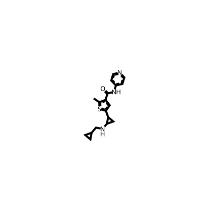 Cc1sc(C2CC2NCC2CC2)cc1C(=O)Nc1ccncc1